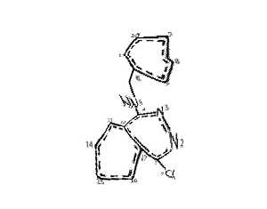 Clc1nnc(Nc2ccccc2)c2ccccc12